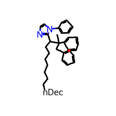 CCCCCCCCCCCCCCCCCC(c1nccn1-c1ccccc1)C(C)(Cc1ccccc1)c1ccccc1